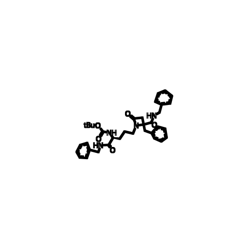 CC(C)(C)OC(=O)N[C@@H](CCCN1C(=O)CC1(Cc1ccccc1)C(=O)NCc1ccccc1)C(=O)NCc1ccccc1